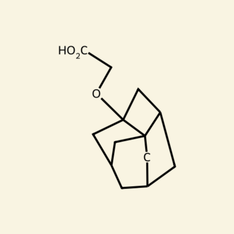 O=C(O)COC12CC3CC4CC(C1)C2(C4)C3